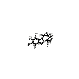 Fc1c(F)c(F)c2c3[n+]([cH-]c2c1F)C(F)(F)C(F)(F)C(F)(F)C3(F)F